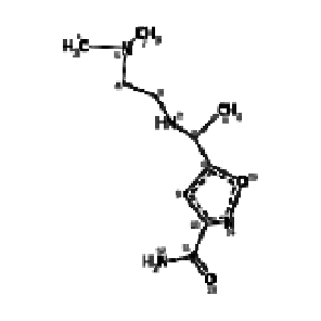 CC(NCCN(C)C)c1cc(C(N)=O)no1